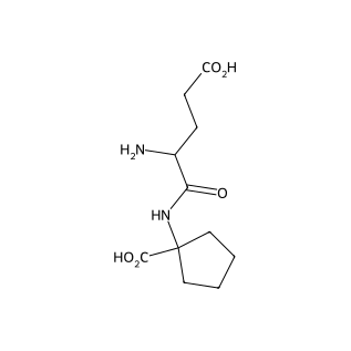 NC(CCC(=O)O)C(=O)NC1(C(=O)O)CCCC1